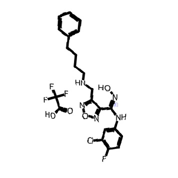 O/N=C(/Nc1ccc(F)c(Cl)c1)c1nonc1CNCCCCc1ccccc1.O=C(O)C(F)(F)F